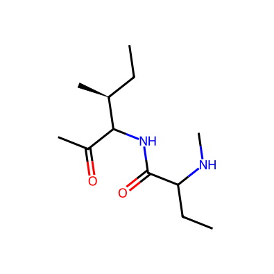 CCC(NC)C(=O)NC(C(C)=O)[C@@H](C)CC